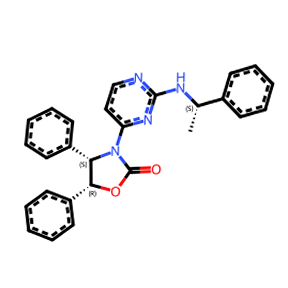 C[C@H](Nc1nccc(N2C(=O)O[C@H](c3ccccc3)[C@@H]2c2ccccc2)n1)c1ccccc1